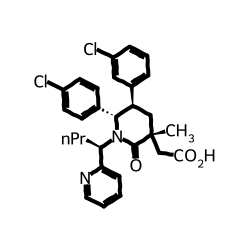 CCC[C@H](c1ccccn1)N1C(=O)[C@@](C)(CC(=O)O)C[C@H](c2cccc(Cl)c2)[C@H]1c1ccc(Cl)cc1